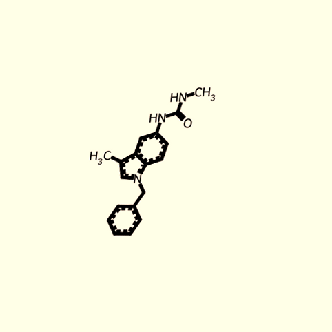 CNC(=O)Nc1ccc2c(c1)c(C)cn2Cc1ccccc1